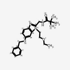 CCOCCn1c(CNC(=O)C(C)(C)N)nc2ccc(OCc3ccccc3)cc21